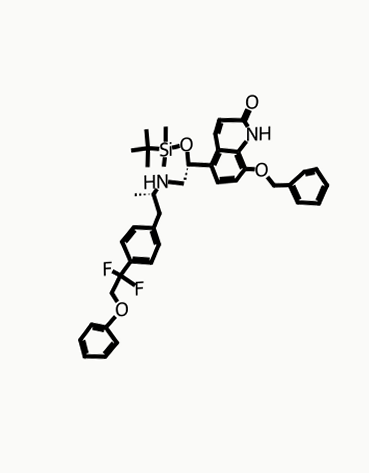 C[C@@H](Cc1ccc(C(F)(F)COc2ccccc2)cc1)NC[C@H](O[Si](C)(C)C(C)(C)C)c1ccc(OCc2ccccc2)c2[nH]c(=O)ccc12